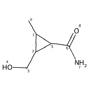 CC1C(CO)C1C(N)=O